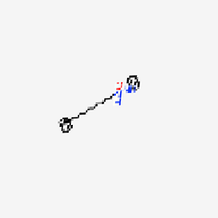 O=C(NCCCCCCCCCCCC12CC3CC(CC(C3)C1)C2)NC12CC3CC(CC(C3)C1)C2